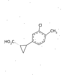 Cc1ccc(C2C[C@@H]2C(=O)O)cc1Cl